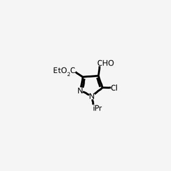 CCOC(=O)c1nn(C(C)C)c(Cl)c1C=O